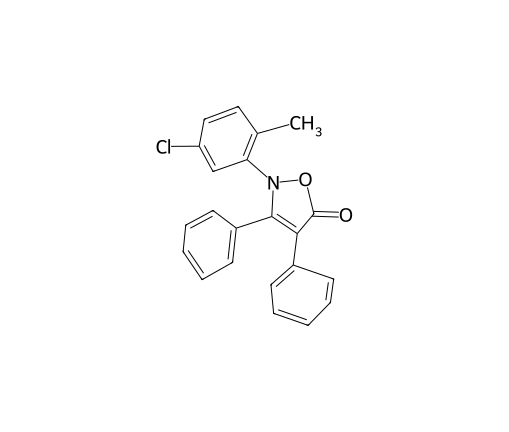 Cc1ccc(Cl)cc1-n1oc(=O)c(-c2ccccc2)c1-c1ccccc1